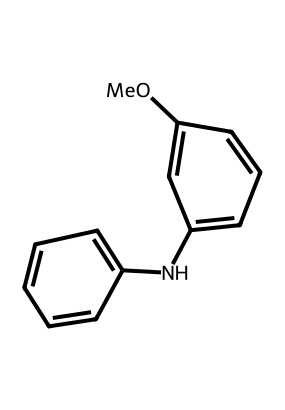 [CH2]Oc1cccc(Nc2ccccc2)c1